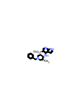 CCOC(=O)c1cnc2[nH]ccc2c1N[C@H]1CCN(Cc2ccccc2)C[C@H]1C